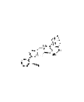 N#Cc1ccccc1-c1ccc(C[C@H](NC(=O)C23CC4CC(CC(C(=O)O)(C4)C2)C3)C(=O)O)cc1